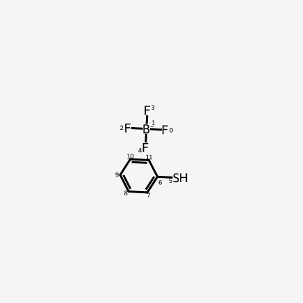 F[B-](F)(F)F.Sc1ccccc1